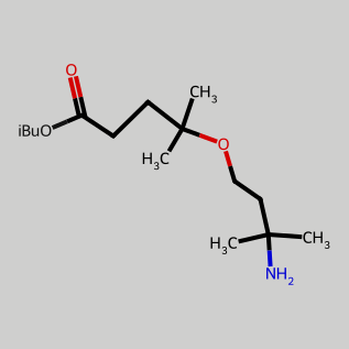 CC(C)COC(=O)CCC(C)(C)OCCC(C)(C)N